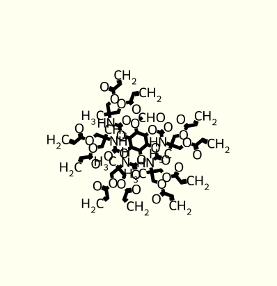 C=CC(=O)OCC(C)(COC(=O)C=C)NC(=O)OC1C(OC=O)C(OC(=O)NC(C)(COC(=O)C=C)COC(=O)C=C)C(OC(=O)NC(C)(COC(=O)C=C)COC(=O)C=C)C(OC(=O)NC(C)(COC(=O)C=C)COC(=O)C=C)C1OC(=O)NC(C)(COC(=O)C=C)COC(=O)C=C